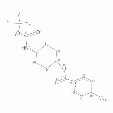 CC(C)(C)OC(=O)NC1CCC(OC(=O)c2ccc(Cl)cc2)CC1